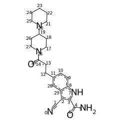 N#Cc1c(C(N)=O)[nH]c2ccc(C[CH]C(=O)N3CCC(N4CCCCC4)CC3)cc12